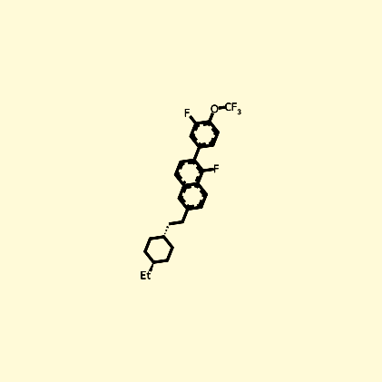 CC[C@H]1CC[C@H](CCc2ccc3c(F)c(-c4ccc(OC(F)(F)F)c(F)c4)ccc3c2)CC1